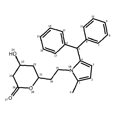 Cc1ccc(C(c2ccccc2)c2ccccc2)n1CCC1CC(O)CC(=O)O1